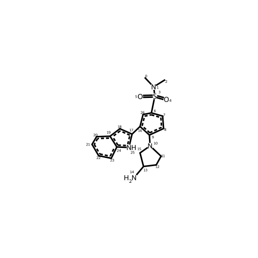 CN(C)S(=O)(=O)c1ccc(N2CCC(N)C2)c(-c2cc3ccccc3[nH]2)c1